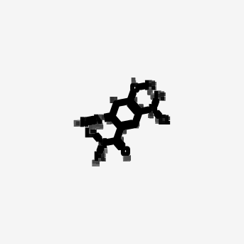 CCOC1=C(N(CC)CC)C=C(C(=O)N(CC)CC)C(=[N+]=[N-])C1